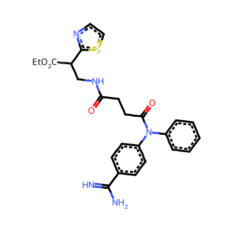 CCOC(=O)C(CNC(=O)CCC(=O)N(c1ccccc1)c1ccc(C(=N)N)cc1)c1nccs1